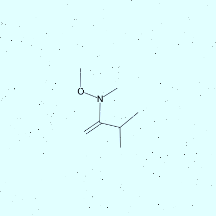 C=C(C(C)C)N(C)OC